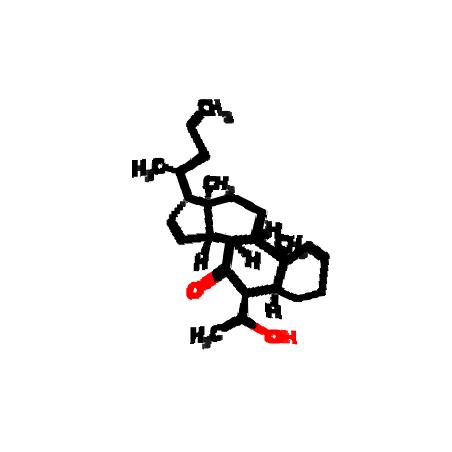 CCC[C@@H](C)[C@H]1CC[C@H]2[C@@H]3C(=O)[C@H](C(C)O)[C@@H]4CCCC[C@]4(C)[C@H]3CC[C@]12C